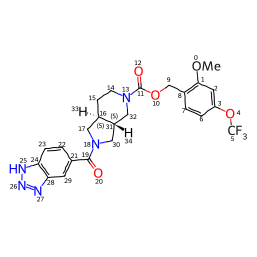 COc1cc(OC(F)(F)F)ccc1COC(=O)N1CC[C@@H]2CN(C(=O)c3ccc4[nH]nnc4c3)C[C@H]2C1